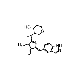 CN1C(=O)/C(=C/c2ccc3[nH]ncc3c2)N=C1N[C@@H]1COCC[C@H]1O